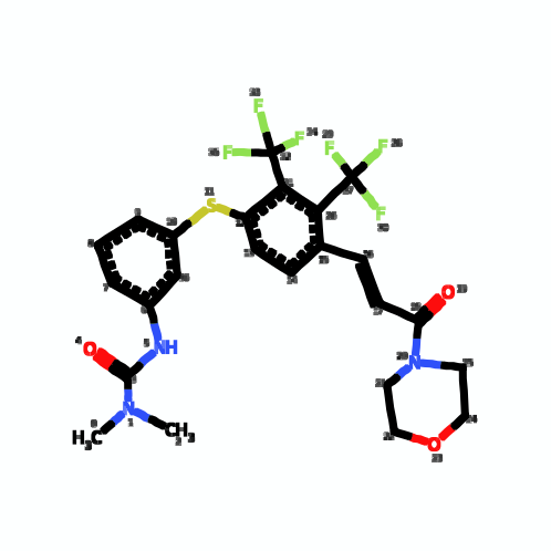 CN(C)C(=O)Nc1cccc(Sc2ccc(C=CC(=O)N3CCOCC3)c(C(F)(F)F)c2C(F)(F)F)c1